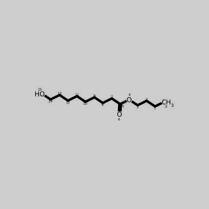 CCCCOC(=O)CCCCCCCCO